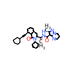 Cc1nn2cccnc2c1C(=O)N[C@H](C)c1cc2cccc(C#CC3CCCCC3)c2c(=O)n1-c1ccccc1